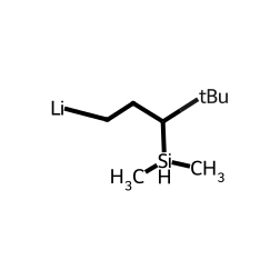 [Li][CH2]CC([SiH](C)C)C(C)(C)C